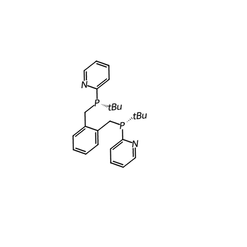 CC(C)(C)[P@](Cc1ccccc1C[P@@](c1ccccn1)C(C)(C)C)c1ccccn1